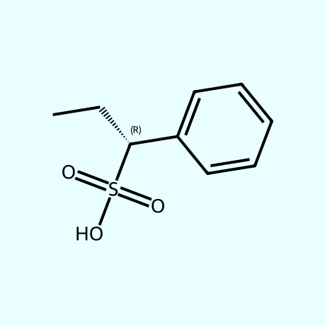 CC[C@H](c1ccccc1)S(=O)(=O)O